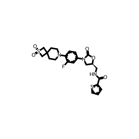 O=C(NC[C@H]1CN(c2ccc(N3CCC4(CC3)CS(=O)(=O)C4)c(F)c2)C(=O)O1)c1cccs1